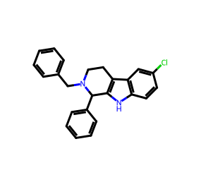 Clc1ccc2[nH]c3c(c2c1)CCN(Cc1ccccc1)C3c1ccccc1